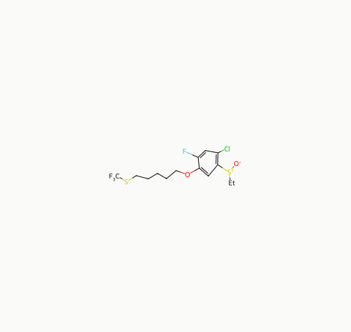 CC[S+]([O-])c1cc(OCCCCCSC(F)(F)F)c(F)cc1Cl